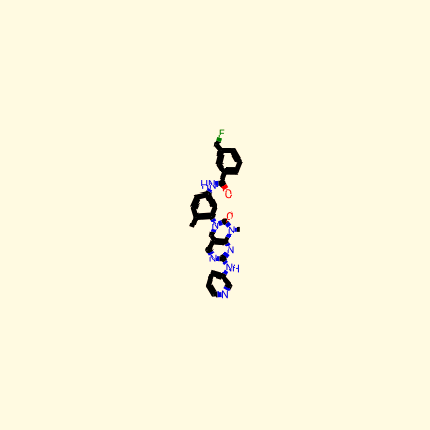 Cc1ccc(NC(=O)c2cccc(CF)c2)cc1N1Cc2cnc(Nc3cccnc3)nc2N(C)C1=O